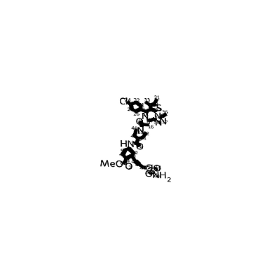 COC(=O)c1ccc(NC(=O)C2CCN(C(=O)C[C@@H]3N=C(c4ccc(Cl)cc4)c4c(sc(C)c4C)-n4c(C)nnc43)CC2)cc1C#CCOS(N)(=O)=O